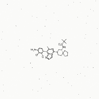 Cc1nc(N2CCC3(CCCC3)C(N[S@+]([O-])C(C)(C)C)C2)n2ccnc2c1-c1ccc(N)c(Cl)c1Cl